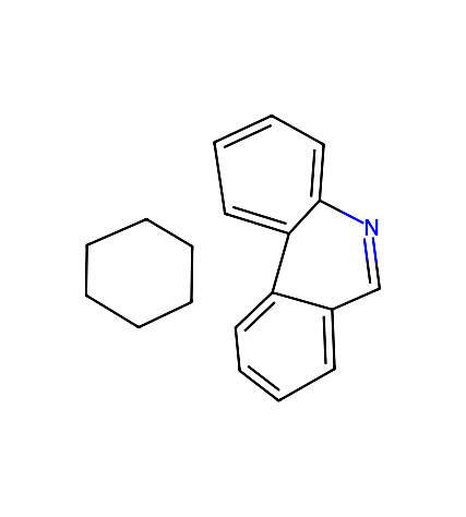 C1CCCCC1.c1ccc2c(c1)cnc1ccccc12